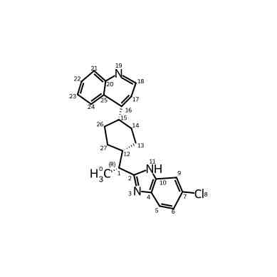 C[C@@H](c1nc2ccc(Cl)cc2[nH]1)[C@H]1CC[C@@H](c2ccnc3ccccc32)CC1